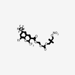 CCc1cc(S(F)(F)(F)(F)F)cc2c1OC(C(F)(F)F)C(C(=O)OCOC(=O)OCC(C)(C)CO[N+](=O)[O-])=C2